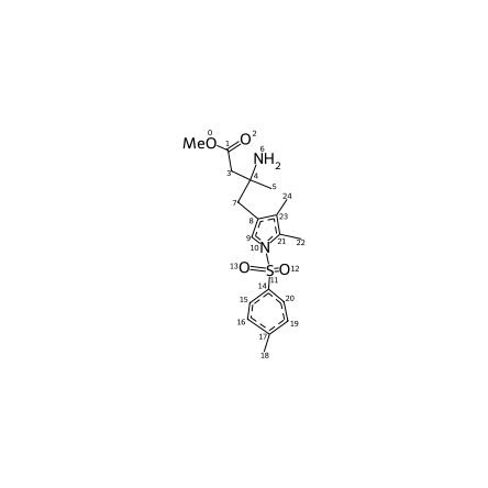 COC(=O)CC(C)(N)Cc1cn(S(=O)(=O)c2ccc(C)cc2)c(C)c1C